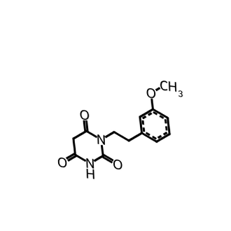 COc1cccc(CCN2C(=O)CC(=O)NC2=O)c1